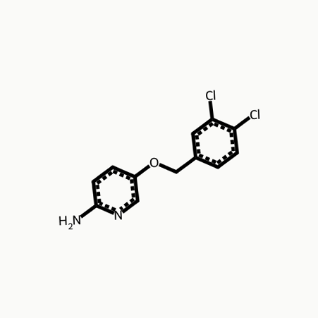 Nc1ccc(OCc2ccc(Cl)c(Cl)c2)cn1